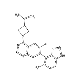 C=C(N)C1CN(c2ncnc3cc(-c4c(C)ccc5[nH]ncc45)c(Cl)cc23)C1